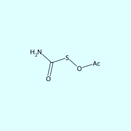 CC(=O)OSC(N)=O